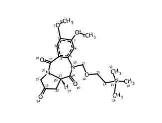 COc1cc2c(cc1OC)N(COCC[Si](C)(C)C)C(=O)[C@@H]1CC(=O)CN1C2=O